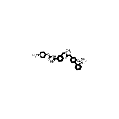 CN1CCC(OC(=O)NC(=N)c2cccc(CN(C)C(=O)Cc3ccc(-c4ccccc4S(N)(=O)=O)cc3)c2)CC1